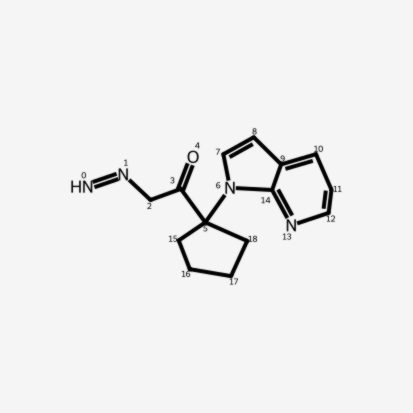 N=NCC(=O)C1(n2ccc3cccnc32)CCCC1